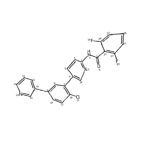 O=C(Nc1ccc(-c2cc(-c3cccnc3)ccc2Cl)cn1)c1c(F)cccc1F